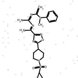 C=C(/N=C(N)\N=C(/N)c1noc(C2CCN(S(=O)(=O)C3CC3)CC2)n1)N(C)c1ccccc1